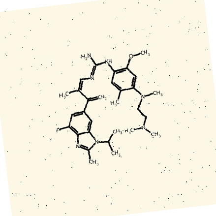 C=C(/C(C)=C\N=C(/N)Nc1cc(C)c(N(C)CCN(C)C)cc1OC)c1cc(F)c2nc(C)n(C(C)C)c2c1